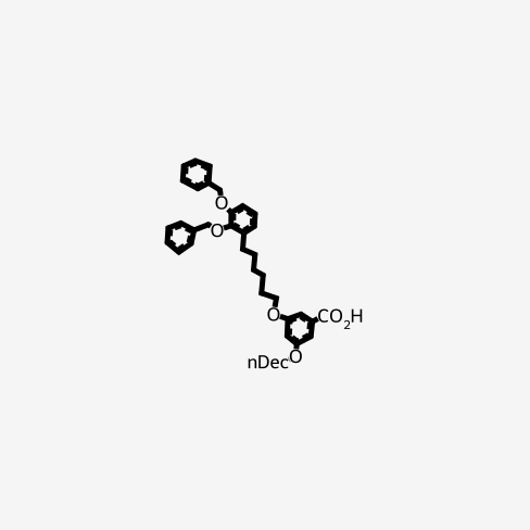 CCCCCCCCCCOc1cc(OCCCCCCc2cccc(OCc3ccccc3)c2OCc2ccccc2)cc(C(=O)O)c1